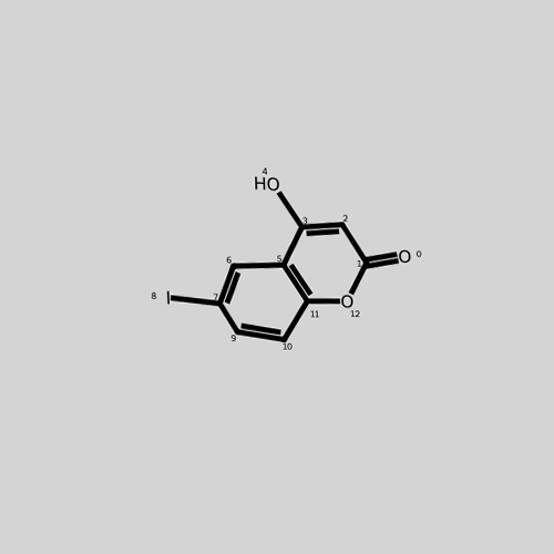 O=c1cc(O)c2cc(I)ccc2o1